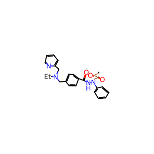 CCN(Cc1ccc(C(=O)NN(c2ccccc2)S(C)(=O)=O)cc1)Cc1ccccn1